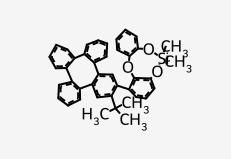 CC(C)(C)c1cc2c(cc1-c1cccc3c1Oc1ccccc1O[Si](C)(C)O3)-c1ccccc1-c1ccccc1-c1ccccc1-2